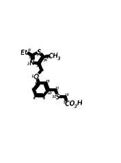 CCc1nc(COc2cccc(CSCC(=O)O)c2)c(C)s1